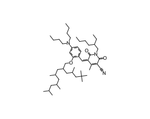 CCCCC(CC)CN1C(=O)C(=Cc2ccc(N(CCCC)CCCC)cc2OCC(CC(C)CC(C)CC(C)C)CC(C)CC(C)(C)C)C(C)=C(C#N)C1=O